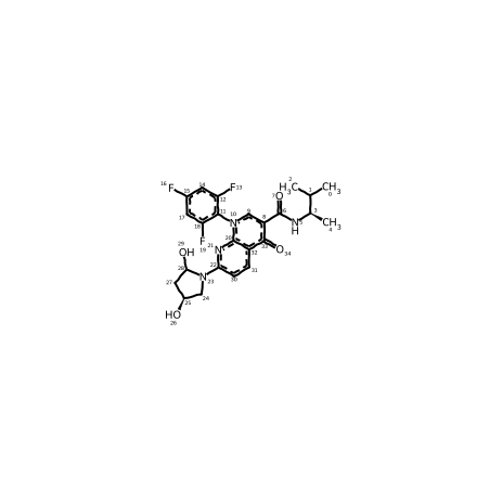 CC(C)[C@@H](C)NC(=O)c1cn(-c2c(F)cc(F)cc2F)c2nc(N3C[C@@H](O)CC3O)ccc2c1=O